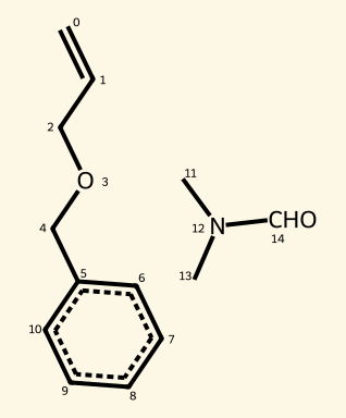 C=CCOCc1ccccc1.CN(C)C=O